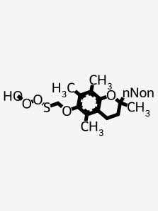 CCCCCCCCCC1(C)CCc2c(C)c(OCSOOO)c(C)c(C)c2O1